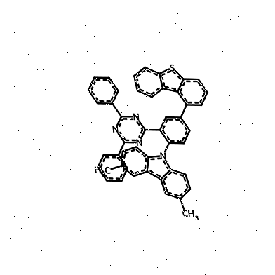 Cc1ccc2c(c1)c1cc(C)ccc1n2-c1ccc(-c2cccc3sc4ccccc4c23)cc1-c1nc(-c2ccccc2)nc(-c2ccccc2)n1